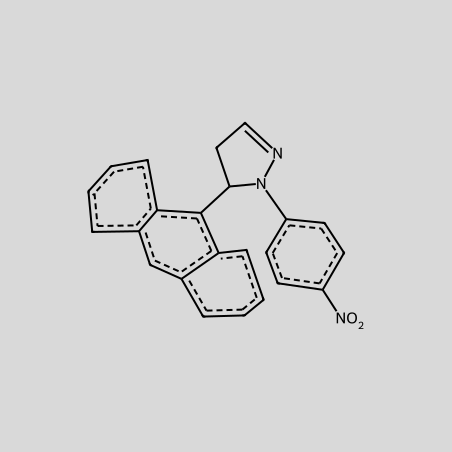 O=[N+]([O-])c1ccc(N2N=CCC2c2c3ccccc3cc3ccccc23)cc1